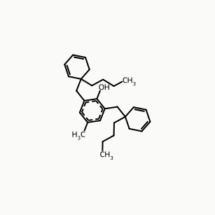 CCCCC1(Cc2cc(C)cc(CC3(CCCC)C=CC=CC3)c2O)C=CC=CC1